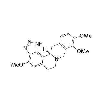 COc1ccc2c(c1OC)CN1CCc3cc(OC)c4nn[nH]c4c3[C@@H]1C2